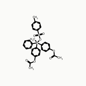 CC(=O)Oc1ccc(P(C)(OS(=O)(=O)c2ccc(C)cc2)(c2ccccc2)c2ccc(OC(C)=O)cc2)cc1